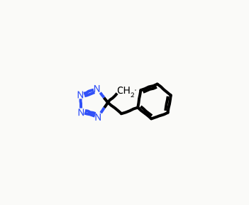 [CH2]C1(Cc2ccccc2)N=NN=N1